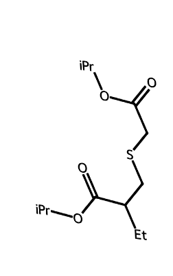 CCC(CSCC(=O)OC(C)C)C(=O)OC(C)C